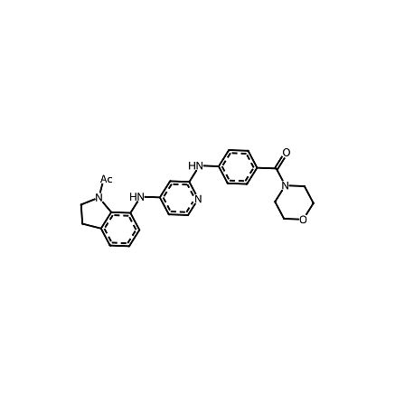 CC(=O)N1CCc2cccc(Nc3ccnc(Nc4ccc(C(=O)N5CCOCC5)cc4)c3)c21